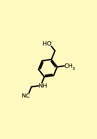 Cc1cc(NCC#N)ccc1CO